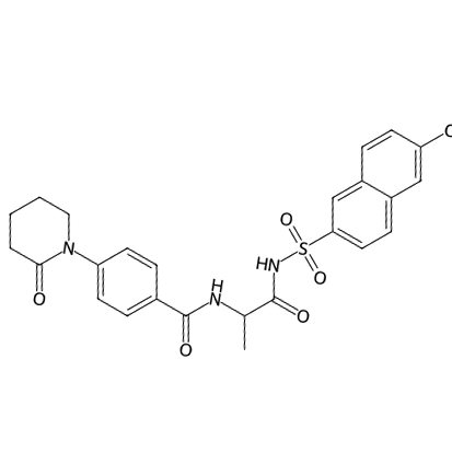 CC(NC(=O)c1ccc(N2CCCCC2=O)cc1)C(=O)NS(=O)(=O)c1ccc2cc(Cl)ccc2c1